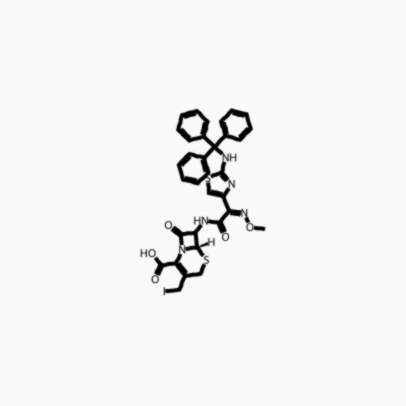 CO/N=C(\C(=O)NC1C(=O)N2C(C(=O)O)=C(CI)CS[C@@H]12)c1csc(NC(c2ccccc2)(c2ccccc2)c2ccccc2)n1